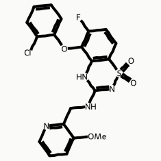 COc1cccnc1CNC1=NS(=O)(=O)c2ccc(F)c(Oc3ccccc3Cl)c2N1